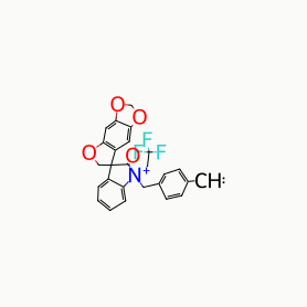 [CH]c1ccc(C[N+]2(CC(F)(F)F)C(=O)C3(COc4cc5c(cc43)OCO5)c3ccccc32)cc1